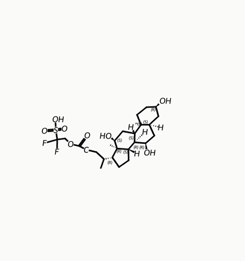 CC(CCC(=O)OCC(F)(F)S(=O)(=O)O)[C@H]1CC[C@H]2[C@@H]3[C@H](O)C[C@@H]4C[C@H](O)CC[C@]4(C)[C@H]3C[C@H](O)[C@]12C